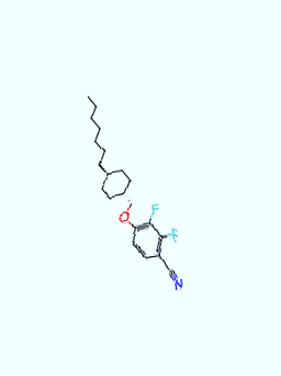 CCCCCCC[C@H]1CC[C@H](COc2ccc(C#N)c(F)c2F)CC1